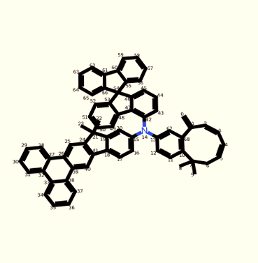 C=C1/C=C\C=C/CC(C)(C)c2ccc(N(c3ccc4c(c3)C(C)(C)c3cc5c6ccccc6c6ccccc6c5cc3-4)c3cccc4c3-c3ccccc3C43c4ccccc4-c4ccccc43)cc21